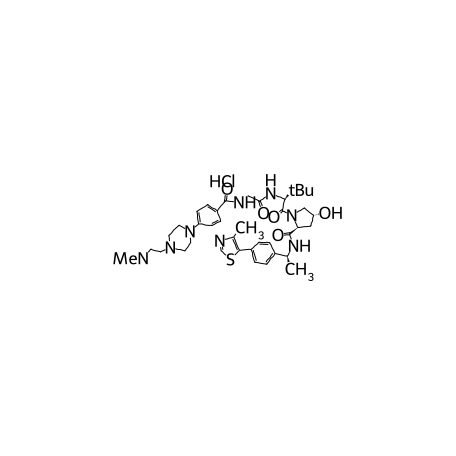 CNCCN1CCN(c2ccc(C(=O)NCC(=O)N[C@H](C(=O)N3C[C@H](O)C[C@H]3C(=O)N[C@@H](C)c3ccc(-c4scnc4C)cc3)C(C)(C)C)cc2)CC1.Cl